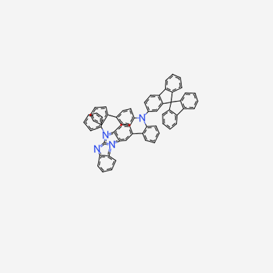 c1ccc(-c2ccc(N(c3ccc4c(c3)C3(c5ccccc5-c5ccccc53)c3ccccc3-4)c3ccccc3-c3ccc4c(c3)n3c5ccccc5nc3n4-c3ccccc3)cc2)cc1